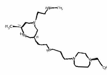 CCN1CCN(CCNCC[C@@H]2CN(CCNC)C[C@H](C)N2)CC1